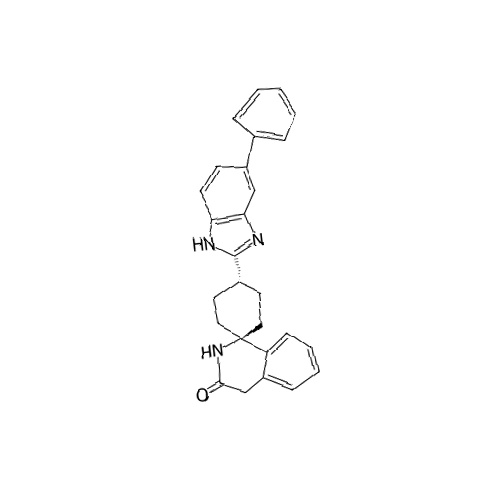 O=C1Cc2ccccc2[C@]2(CC[C@@H](c3nc4cc(-c5ccccc5)ccc4[nH]3)CC2)N1